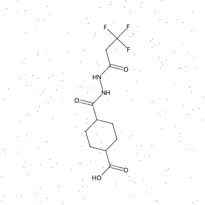 O=C(CC(F)(F)F)NNC(=O)C1CCC(C(=O)O)CC1